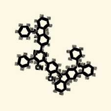 N#Cc1cc(-c2nc(-c3ccc4c5ccccc5n(-c5ccccc5)c4c3)nc(-c3ccccc3)c2C#N)ccc1-n1c2ccccc2c2cc3c4ccccc4n(-c4ccccc4)c3cc21